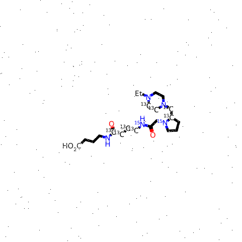 CCN1CCN([13CH2][13CH]2CCC[15N]2CC(=O)[15NH][13CH2][13CH2][13CH2][13C](=O)NCCC[13C](=O)O)[13CH2][13CH2]1